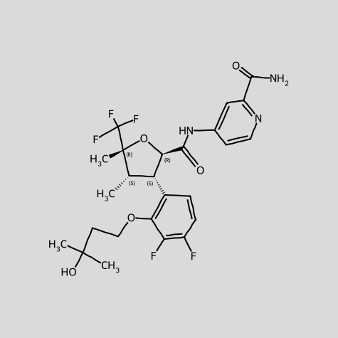 C[C@H]1[C@@H](c2ccc(F)c(F)c2OCCC(C)(C)O)[C@H](C(=O)Nc2ccnc(C(N)=O)c2)O[C@@]1(C)C(F)(F)F